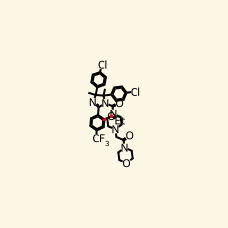 CCOc1cc(C(F)(F)F)ccc1C1=NC(C)(c2ccc(Cl)cc2)C(C)(c2ccc(Cl)cc2)N1C(=O)N1CCN(CC(=O)N2CCOCC2)CC1